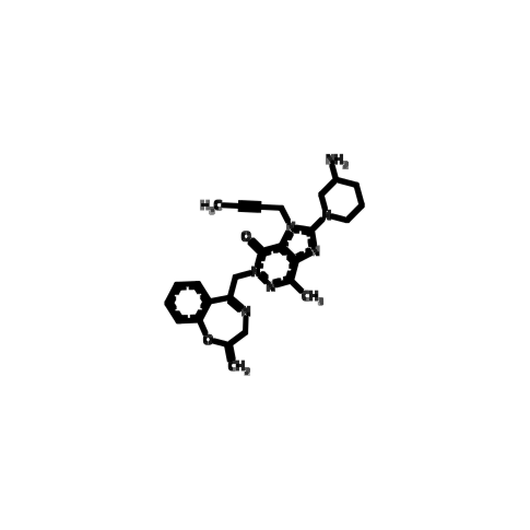 C=C1CN=C(Cn2nc(C)c3nc(N4CCCC(N)C4)n(CC#CC)c3c2=O)c2ccccc2O1